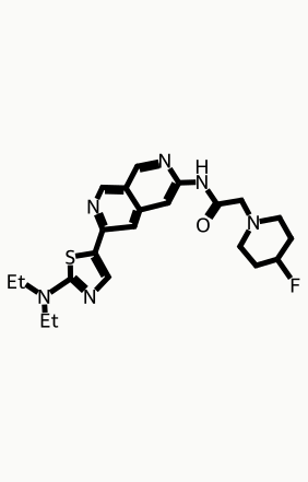 CCN(CC)c1ncc(-c2cc3cc(NC(=O)CN4CCC(F)CC4)ncc3cn2)s1